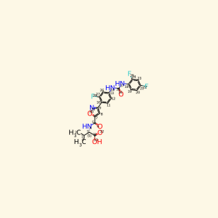 CC(C)[C@H](NC(=O)c1cc(-c2ccc(NC(=O)Nc3ccc(F)cc3F)cc2F)no1)C(=O)O